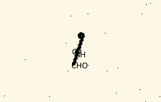 O=[C]CCCCCNC(=O)OCCCCCCc1ccccc1